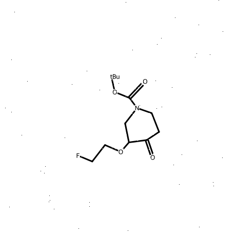 CC(C)(C)OC(=O)N1CCC(=O)C(OCCF)C1